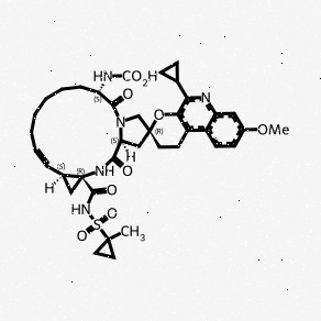 COc1ccc2c3c(c(C4CC4)nc2c1)O[C@]1(CC3)C[C@H]2C(=O)N[C@]3(C(=O)NS(=O)(=O)C4(C)CC4)C[C@H]3C=CCCCCC[C@H](NC(=O)O)C(=O)N2C1